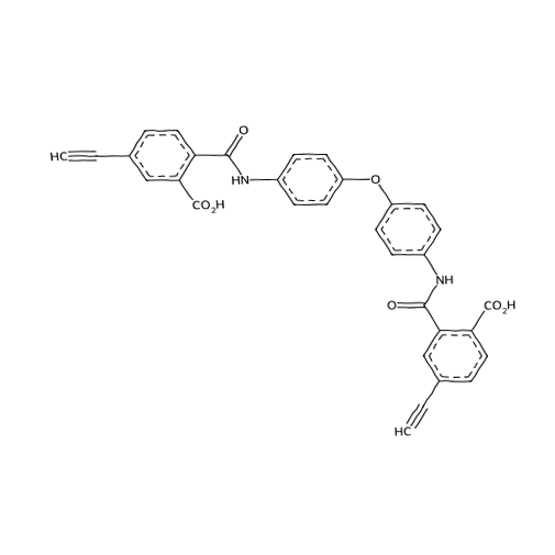 C#Cc1ccc(C(=O)Nc2ccc(Oc3ccc(NC(=O)c4cc(C#C)ccc4C(=O)O)cc3)cc2)c(C(=O)O)c1